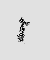 CS(=O)(=O)c1ccc(CN2CCC3(CCN(CC4CN(S(=O)(=O)C5CCCC5)CC4c4ccccc4)CC3)C2=O)cc1